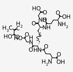 C=C(C)C(=O)O.N[C@@H](CCC(=O)N[C@@H](CSSC[C@H](NC(=O)CC[C@H](N)C(=O)O)C(=O)NCC(=O)O)C(=O)NCC(=O)O)C(=O)O